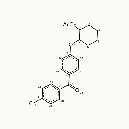 CC(=O)OC1CCCCC1Oc1ccc(C(=O)c2ccc(Cl)cc2)cc1